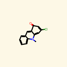 Cn1c2cc(Cl)cc(=O)c-2cc2ccccc21